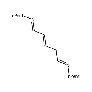 CCCCCN=CC=CCC=NCCCCC